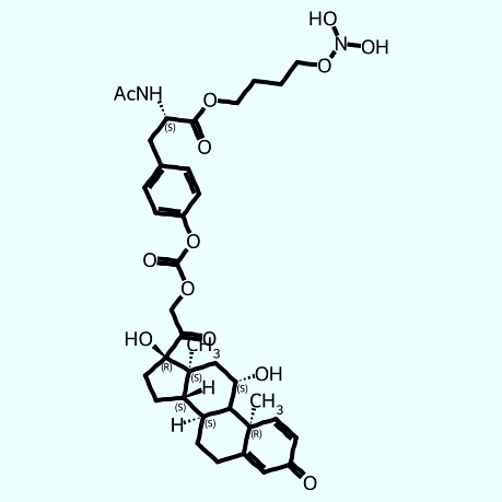 CC(=O)N[C@@H](Cc1ccc(OC(=O)OCC(=O)[C@@]2(O)CC[C@H]3[C@@H]4CCC5=CC(=O)C=C[C@]5(C)C4[C@@H](O)C[C@@]32C)cc1)C(=O)OCCCCON(O)O